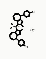 CC1=CC2=C(C=CC=CC2c2ccc(Cl)cc2)[CH]1[Zr+2]([CH]1C(C)=CC2=C1C=CC=CC2c1ccc(Cl)cc1)=[Si](C)C.[Cl-].[Cl-]